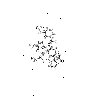 CN(CCC1=NC=C[N+]1(C(=O)[O-])c1ccc(OC(=O)c2cccc(CCl)c2)cc1)C(=O)OC(C)(C)C